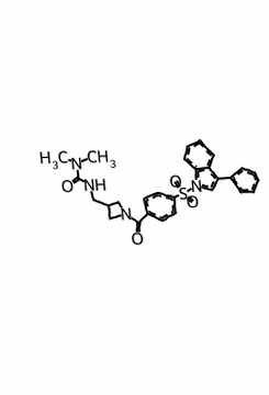 CN(C)C(=O)NCC1CN(C(=O)c2ccc(S(=O)(=O)n3cc(-c4ccccc4)c4ccccc43)cc2)C1